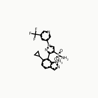 Cn1ncc2ccc(C3CC3)c(-c3nn(-c4cncc(C(F)(F)F)c4)cc3S(N)(=O)=O)c21